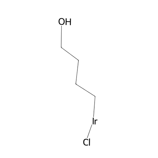 OCCC[CH2][Ir][Cl]